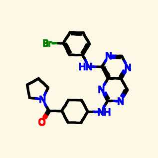 O=C(C1CCC(Nc2ncc3ncnc(Nc4cccc(Br)c4)c3n2)CC1)N1CCCC1